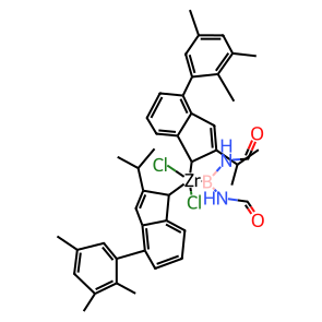 Cc1cc(C)c(C)c(-c2cccc3c2C=C(C(C)C)[CH]3[Zr]([Cl])([Cl])([B](NC=O)NC=O)[CH]2C(C(C)C)=Cc3c(-c4cc(C)cc(C)c4C)cccc32)c1